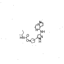 CCC(C)NC(=O)O[C@@H]1CC[C@H](c2cc(Nc3nccn4nccc34)n[nH]2)C1